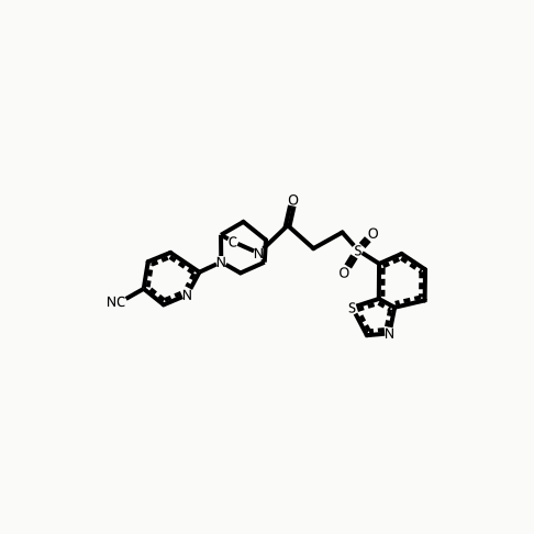 N#Cc1ccc(N2CC3CCC2CN3C(=O)CCS(=O)(=O)c2cccc3ncsc23)nc1